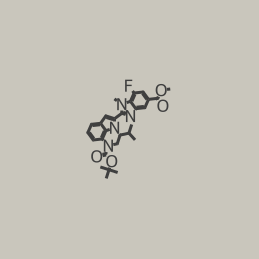 COC(=O)c1cc(F)c2c(c1)nc(-c1cc3cccc4c3n1C(C(C)C)CN4C(=O)OC(C)(C)C)n2C